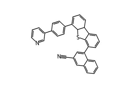 N#Cc1cc(-c2cccc3c2SC2C(c4ccc(-c5cccnc5)cc4)=CC=CC32)c2ccccc2c1